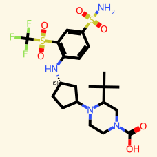 CC(C)(C)C1CN(C(=O)O)CCN1C1CC[C@H](Nc2ccc(S(N)(=O)=O)cc2S(=O)(=O)C(F)(F)F)C1